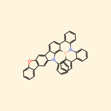 c1ccc(-n2c3cc4c(cc3c3ccc5c(c32)B2c3ccccc3-c3ccccc3N2c2ccccc2-5)oc2ccccc24)cc1